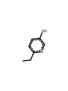 [CH2]Cc1ccc(O)cn1